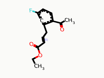 CCOC(=O)/C=C/Cc1cc(F)ccc1C(C)=O